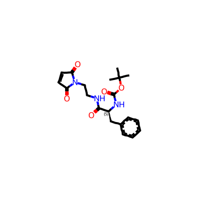 CC(C)(C)OC(=O)N[C@@H](Cc1ccccc1)C(=O)NCCN1C(=O)C=CC1=O